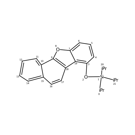 CC(C)[Si](Oc1cccc2oc3c4ccccc4ccc3c12)(C(C)C)C(C)C